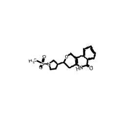 CS(=O)(=O)N1CCC(C2Cc3[nH]c(=O)c4ccccc4c3CO2)C1